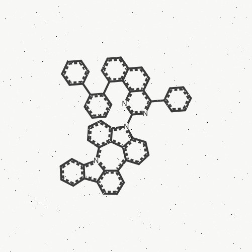 c1ccc(-c2ccccc2-c2cccc3ccc4c(-c5ccccc5)nc(-n5c6cccc7c8cccc9c%10ccccc%10n(c%10cccc5c%10c76)c89)nc4c23)cc1